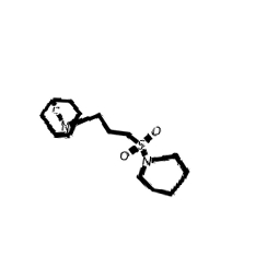 O=S(=O)(CCCN1CC2CCC1CC2)N1CC[CH]CC1